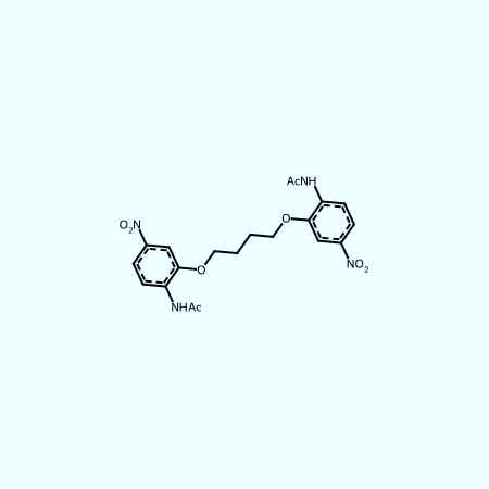 CC(=O)Nc1ccc([N+](=O)[O-])cc1OCCCCOc1cc([N+](=O)[O-])ccc1NC(C)=O